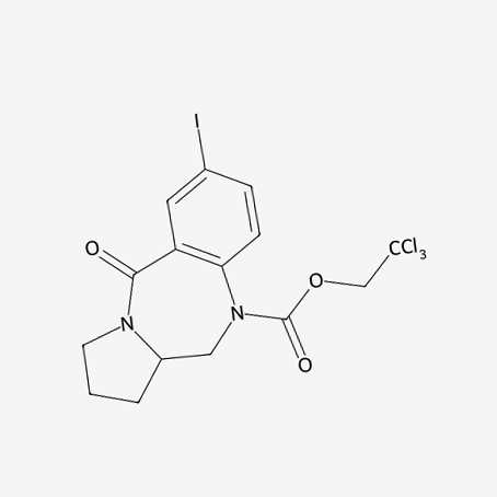 O=C(OCC(Cl)(Cl)Cl)N1CC2CCCN2C(=O)c2cc(I)ccc21